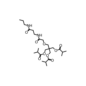 CCCNC(=O)CCNC(=O)COCC(COC(=O)C(C)C)(COC(=O)C(C)C)COC(=O)C(C)C